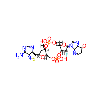 Nc1ncnc2c([C@H]3C[C@@H]4OP(=O)(O)OC[C@H]5O[C@@H](N6C=NC7C(=O)CC=NC76)[C@H](F)[C@@H]5OP(=O)(O)OC[C@H]4O3)snc12